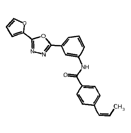 C/C=C\c1ccc(C(=O)Nc2cccc(-c3nnc(-c4ccco4)o3)c2)cc1